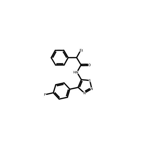 CCC(C(=O)Nc1snnc1-c1ccc(F)cc1)c1ccccc1